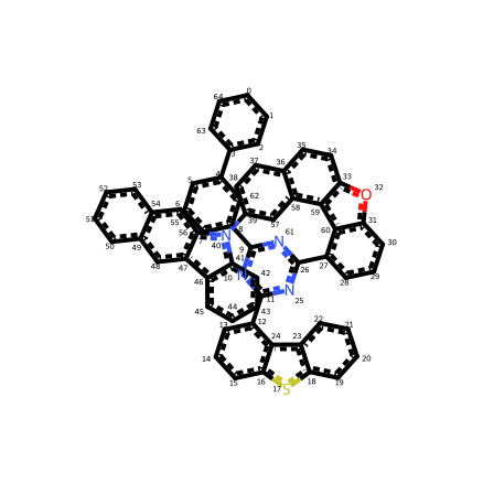 c1ccc(-c2cccc(-c3nc(-c4cccc5sc6ccccc6c45)nc(-c4cccc5oc6ccc7ccc(-n8c9ccccc9c9cc%10ccccc%10cc98)cc7c6c45)n3)c2)cc1